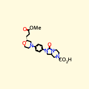 COC(=O)CC[C@@H]1CN(c2ccc(N3CC4CN(C(=O)O)CCN4C3=O)cc2)CCO1